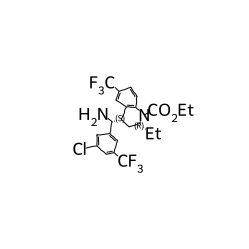 CCOC(=O)N1c2ccc(C(F)(F)F)cc2[C@@H](C(N)c2cc(Cl)cc(C(F)(F)F)c2)C[C@H]1CC